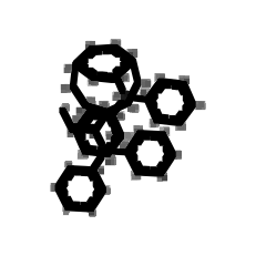 C/C=C(/P(c1ccccc1)c1ccccc1)C1(C)CCc2ccc(c(P(c3ccccc3)c3ccccc3)c2)CC1